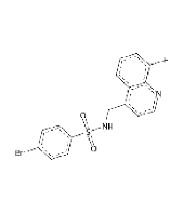 O=S(=O)(NCc1ccnc2c(F)cccc12)c1ccc(Br)cc1